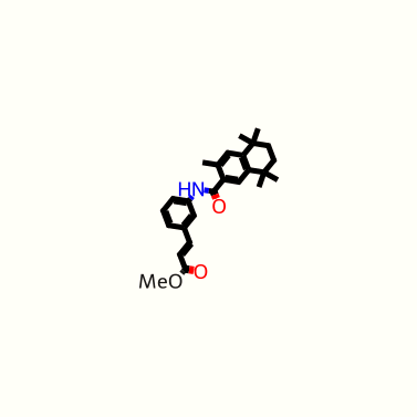 COC(=O)C=Cc1cccc(NC(=O)c2cc3c(cc2C)C(C)(C)CCC3(C)C)c1